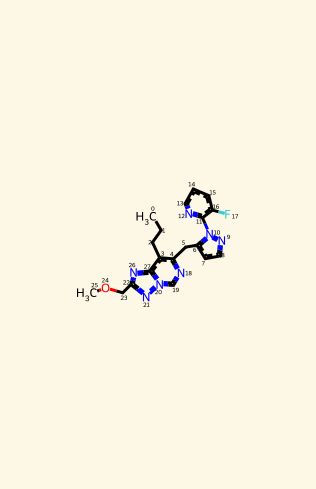 CCCc1c(Cc2ccnn2-c2ncccc2F)ncn2nc(COC)nc12